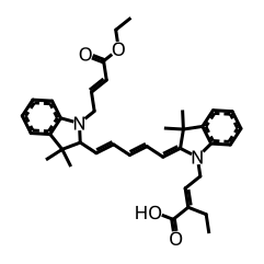 CCOC(=O)/C=C/CN1c2ccccc2C(C)(C)C1/C=C/C=C/C=C1/N(C/C=C(\CC)C(=O)O)c2ccccc2C1(C)C